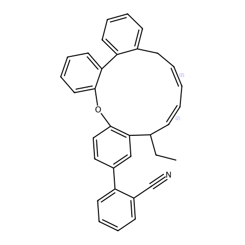 CCC1/C=C\C=C/Cc2ccccc2-c2ccccc2Oc2ccc(-c3ccccc3C#N)cc21